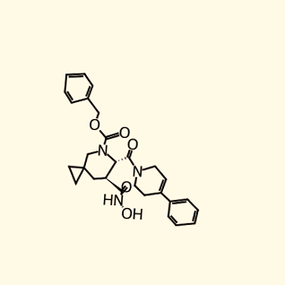 O=C(NO)[C@H]1CC2(CC2)CN(C(=O)OCc2ccccc2)[C@@H]1C(=O)N1CC=C(c2ccccc2)CC1